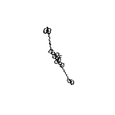 C=CC(=O)OCCCCCCCCCCCCOc1ccc(C(=O)Oc2ccc(OC(=O)c3ccc(OCCCCCCCCCCCCOC(=O)C=C)cc3)c(F)c2)cc1